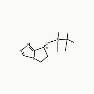 CC(C)(C)[Si](C)(C)O[C@H]1CCn2cnnc21